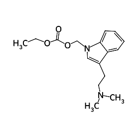 CCOC(=O)OCn1cc(CCN(C)C)c2ccccc21